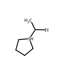 CCC(C)[SH]1CCCC1